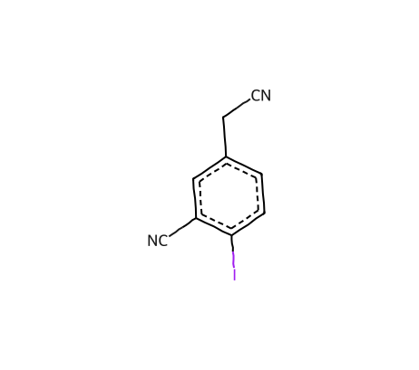 N#CCc1ccc(I)c(C#N)c1